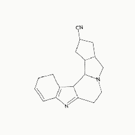 N#CC1CC2CN3CCC4=NC5=C(CCC=C5)C4C3C2C1